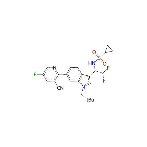 CC(C)(C)Cn1cc(C(NS(=O)(=O)C2CC2)C(F)F)c2ccc(-c3ncc(F)cc3C#N)cc21